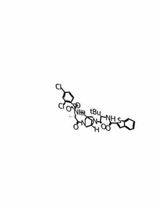 C[C@H](NS(=O)(=O)c1ccc(Cl)cc1Cl)C(=O)N1C[C@@H]2C[C@H]1CN2C(=O)C(NC(=O)c1cc2ccccc2s1)C(C)(C)C